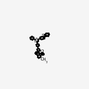 CC1C=CC2=C(C1)C1(c3ccccc3Oc3cc(-c4ccc(-c5cc(-c6ccc7c(c6)sc6ccccc67)nc(-c6ccccc6)n5)cc4)ccc31)c1ccccc12